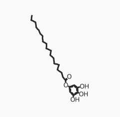 CCCCCCCCCCCCCCCCCCC(=O)Oc1cc(O)c(O)c(O)c1